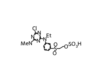 CCN(c1cccc(S(=O)(=O)CCOS(=O)(=O)O)c1)c1nc(Cl)nc(NC)n1